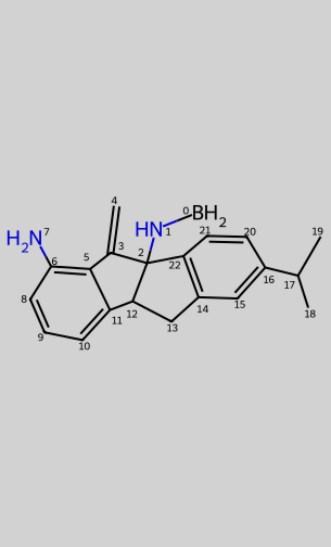 BNC12C(=C)c3c(N)cccc3C1Cc1cc(C(C)C)ccc12